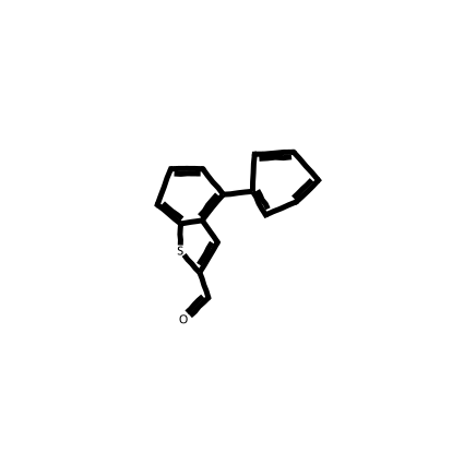 O=Cc1cc2c(-c3ccccc3)cccc2s1